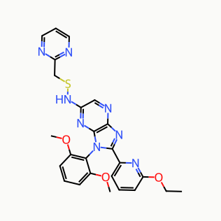 CCOc1cccc(-c2nc3ncc(NSCc4ncccn4)nc3n2-c2c(OC)cccc2OC)n1